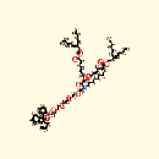 CCCCCCCCN(CCOCCOCCOCCOCCOC(c1ccccc1)(c1ccccc1)c1ccccc1)C(=O)C(COCCCCCC(=O)OCCC(CCCCC)CCCCC)OCCCCCC(=O)OCCC(CCCCC)CCCCC